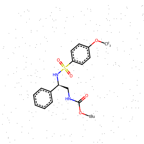 CC(C)(C)OC(=O)NC[C@H](NS(=O)(=O)c1ccc(OC(F)(F)F)cc1)c1ccccc1